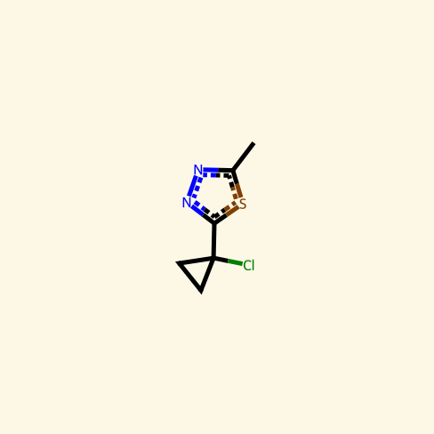 Cc1nnc(C2(Cl)CC2)s1